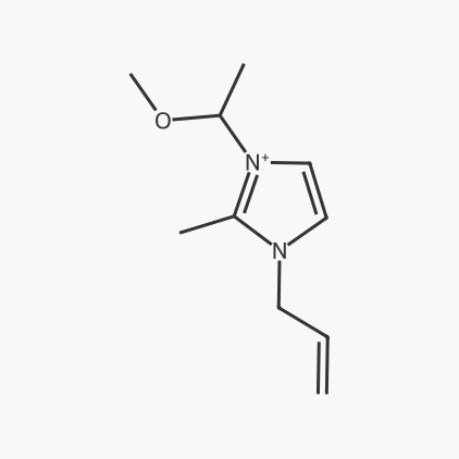 C=CCn1cc[n+](C(C)OC)c1C